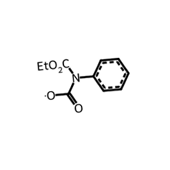 CCOC(=O)N(C([O])=O)c1ccccc1